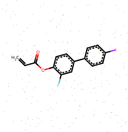 C=CC(=O)Oc1ccc(-c2ccc(I)cc2)cc1F